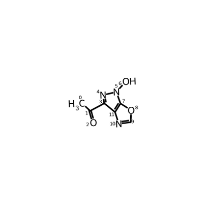 CC(=O)c1nn(O)c2ocnc12